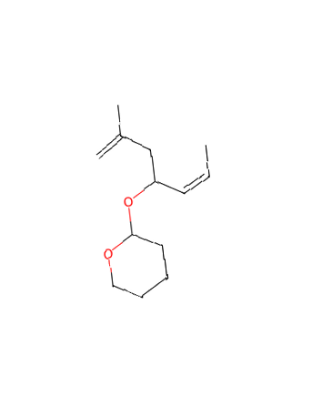 C=C(C)CC(/C=C\C)OC1CCCCO1